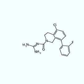 NC(N)=NC(=O)N1CCc2c(Cl)ccc(-c3ccccc3F)c2C1